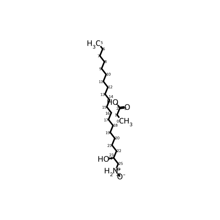 CCC(=O)O.CCCCCCCCCCCCCCCCCCC(O)C[NH2+][O-]